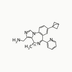 C[C@@H]1N=C(c2ccccn2)c2cc(C34CC(C3)C4)ccc2-n2cnc(CN)c21